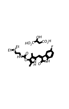 CCN(CC)CCNC(=O)Oc1c(C)[nH]c(C=C2C(=O)Nc3ccc(F)cc32)c1C.O=C(O)CC(O)C(=O)O